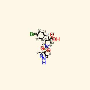 Cc1n[nH]c(C)c1S(=O)(=O)N1CCC(Cc2ccc(Br)cc2)(C(=O)O)CC1